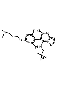 CN(C)CCCOc1cc(F)c(-c2c(Cl)nc3ncnn3c2NCC2(C)N=N2)c(F)c1